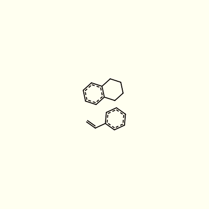 C=Cc1ccccc1.c1ccc2c(c1)CCCC2